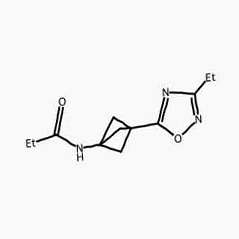 CCC(=O)NC12CC(c3nc(CC)no3)(C1)C2